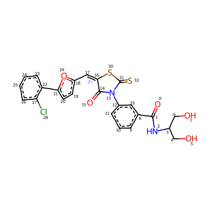 O=C(NC(CO)CO)c1cccc(N2C(=O)/C(=C\c3ccc(-c4ccccc4Cl)o3)SC2=S)c1